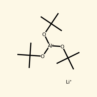 CC(C)(C)[O][Al-]([O]C(C)(C)C)[O]C(C)(C)C.[Li+]